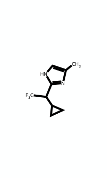 Cc1c[nH]c(C(C2CC2)C(F)(F)F)n1